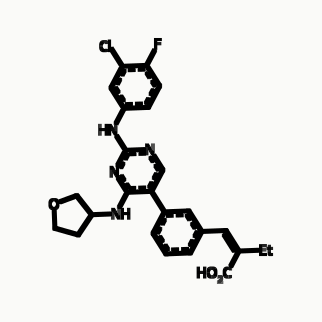 CCC(=Cc1cccc(-c2cnc(Nc3ccc(F)c(Cl)c3)nc2NC2CCOC2)c1)C(=O)O